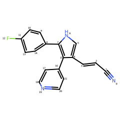 N#C/C=C/c1c[nH]c(-c2ccc(F)cc2)c1-c1ccncc1